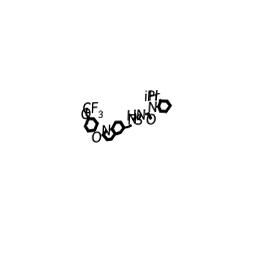 CC(C)c1ccccc1NC(=O)NS/N=C/c1ccc2nc(Oc3ccc(OC(F)(F)F)cc3)ccc2c1